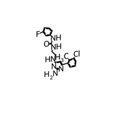 Cc1c(Cl)cccc1-c1cc(NCCNC(=O)Nc2cccc(F)c2)nc(N)n1